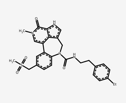 CCc1ccc(CCNC(=O)N2Cc3c[nH]c4c(=O)n(C)cc(c34)-c3cc(CS(C)(=O)=O)ccc32)cc1